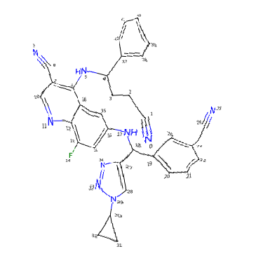 N#CCCC(Nc1c(C#N)cnc2c(F)cc(NC(c3cccc(C#N)c3)c3cn(C4CC4)nn3)cc12)c1ccccc1